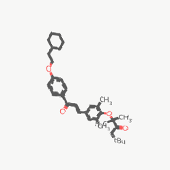 Cc1cc(/C=C/C(=O)c2ccc(OCCC3CCCCC3)cc2)cc(C)c1OC(C)(C)C(=O)CC(C)(C)C